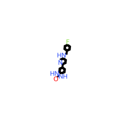 O=c1[nH]c2ccc(-c3ccc(NCc4ccc(F)cc4)cn3)cc2[nH]1